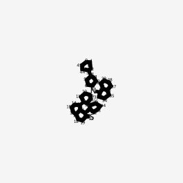 c1ccc(-c2ccc(N(c3ccc(-c4cccc5ccc6sc7ccccc7c6c45)cc3)c3cccc4ccccc34)cc2)cc1